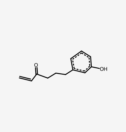 C=CC(=O)CCCc1cccc(O)c1